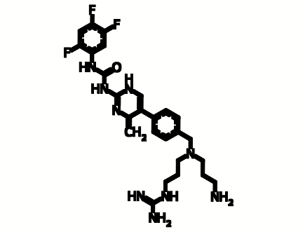 C=C1N=C(NC(=O)Nc2cc(F)c(F)cc2F)NC=C1c1ccc(CN(CCCN)CCCNC(=N)N)cc1